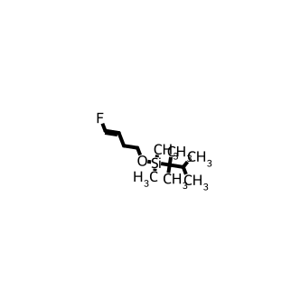 CC(C)C(C)(C)[Si](C)(C)OCCC=CF